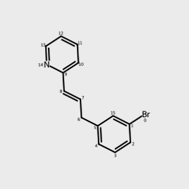 Brc1cccc(CC=Cc2ccccn2)c1